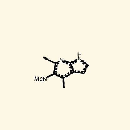 CNc1c(C)nc2[nH]ccc2c1C